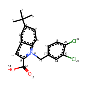 CC(C)(C)c1ccc2c(c1)cc(C(=O)O)n2Cc1ccc(Cl)c(Cl)c1